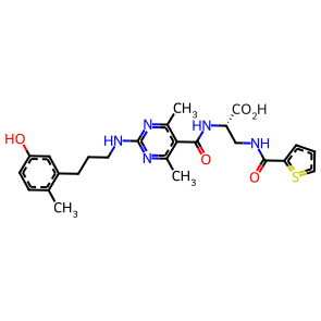 Cc1ccc(O)cc1CCCNc1nc(C)c(C(=O)N[C@@H](CNC(=O)c2cccs2)C(=O)O)c(C)n1